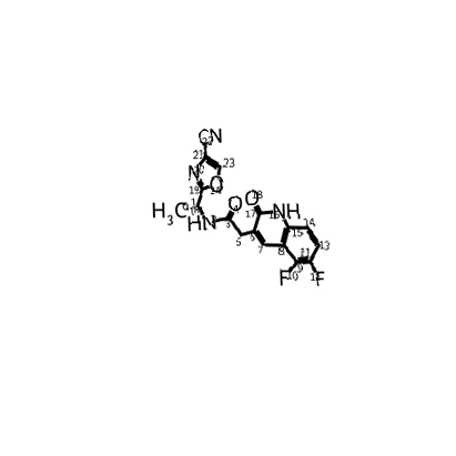 C[C@@H](NC(=O)Cc1cc2c(F)c(F)ccc2[nH]c1=O)c1nc(C#N)co1